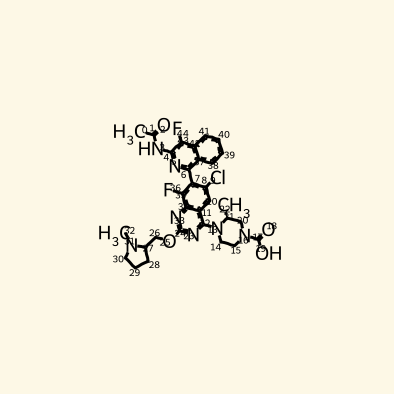 CC(=O)Nc1nc(-c2c(Cl)cc3c(N4CCN(C(=O)O)C[C@@H]4C)nc(OCC4CCCN4C)nc3c2F)c2ccccc2c1F